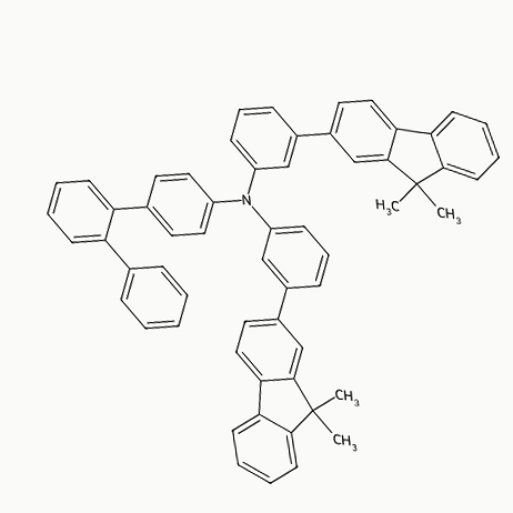 CC1(C)c2ccccc2-c2ccc(-c3cccc(N(c4ccc(-c5ccccc5-c5ccccc5)cc4)c4cccc(-c5ccc6c(c5)C(C)(C)c5ccccc5-6)c4)c3)cc21